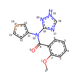 COc1ccccc1C(=O)N(c1ccsc1)c1nc[nH]n1